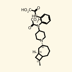 C[C@H]1C[C@H]2C[C@H](N3CCC(N(C(=O)C(=O)O)c4ccccc4NC(=O)C(=O)O)CC3)CCCC21